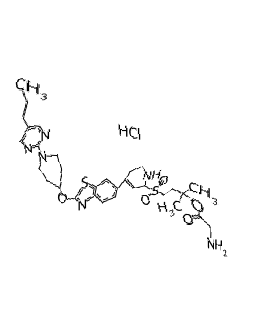 CCCc1cnc(N2CCC(Oc3nc4ccc(C5=CC(S(=O)(=O)CCC(C)(C)OC(=O)CN)NCC5)cc4s3)CC2)nc1.Cl